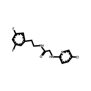 O=C(CNc1ccc(Cl)cn1)NCCc1cc(F)cc(F)c1